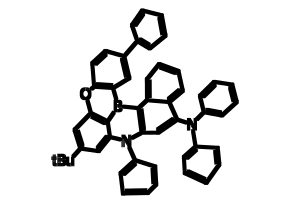 CC(C)(C)c1cc2c3c(c1)N(c1ccccc1)c1cc(N(c4ccccc4)c4ccccc4)c4ccccc4c1B3c1cc(-c3ccccc3)ccc1O2